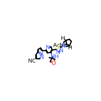 CC(=O)NC1[C@@H]2CC[C@H]1CN(c1nnc(-c3cnc(-c4ccc5cc(C#N)cnn45)cc3NC3(C)COC3)s1)C2